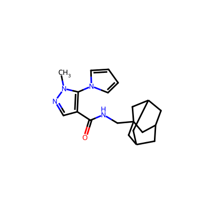 Cn1ncc(C(=O)NCC23CC4CC(CC(C4)C2)C3)c1-n1cccc1